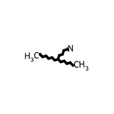 CCCCCCCC(CCCC#N)CCCCCC